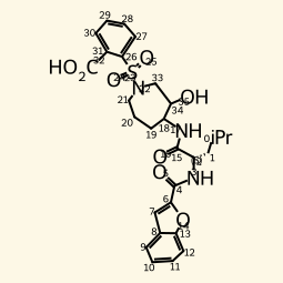 CC(C)C[C@H](NC(=O)c1cc2ccccc2o1)C(=O)NC1CCCN(S(=O)(=O)c2ccccc2C(=O)O)CC1O